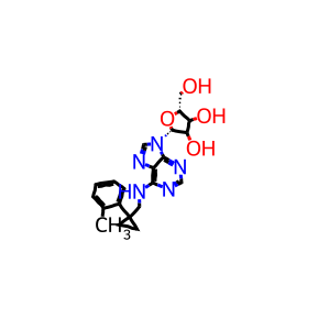 Cc1ccccc1C1(CNc2ncnc3c2ncn3[C@@H]2O[C@H](CO)C(O)C2O)CC1